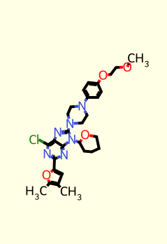 COCCOc1ccc(N2CCN(c3nc4c(Cl)nc(-c5cc(C)c(C)o5)nc4n3C3CCCCO3)CC2)cc1